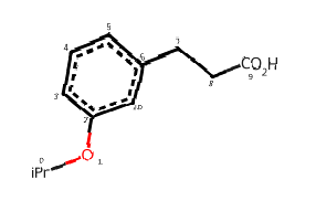 CC(C)Oc1cccc(CCC(=O)O)c1